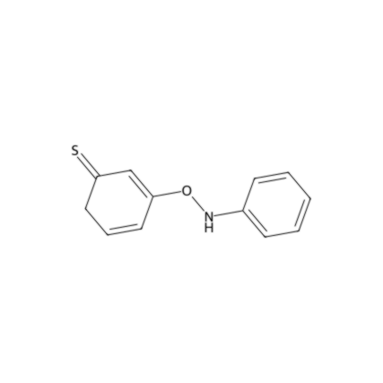 S=C1C=C(ONc2ccccc2)C=CC1